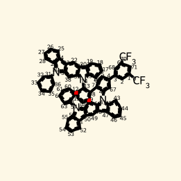 FC(F)(F)c1cc(-c2ccc(-c3ccccc3-n3c4ccccc4c4cc5c6ccccc6n(-c6ccccc6)c5cc43)c(-n3c4ccccc4c4cc5c6ccccc6n(-c6ccccc6)c5cc43)c2)cc(C(F)(F)F)c1